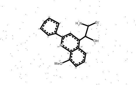 CCC(N)C(O)c1cc(-c2ccccc2)nc2c(OC)cccc12